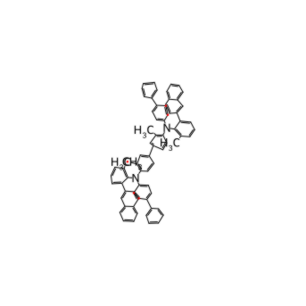 Cc1cc(-c2ccc(N(c3ccc(-c4ccccc4)cc3)c3c(C)cccc3-c3ccc4ccccc4c3)c(C)c2)ccc1N(c1ccc(-c2ccccc2)cc1)c1c(C)cccc1-c1ccc2ccccc2c1